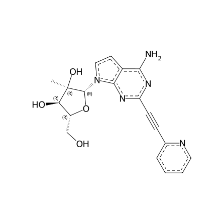 C[C@@]1(O)[C@H](O)[C@@H](CO)O[C@H]1n1ccc2c(N)nc(C#Cc3ccccn3)nc21